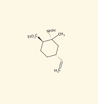 C=C[C@@H]1CC[C@@H](C(=O)OCC)[C@](C)(NC(C)=O)C1